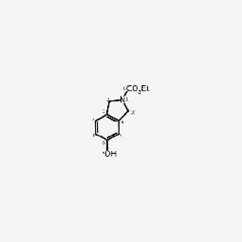 CCOC(=O)N1Cc2ccc(O)cc2C1